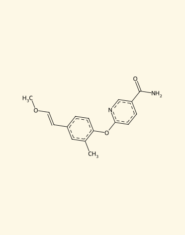 CO/C=C/c1ccc(Oc2ccc(C(N)=O)cn2)c(C)c1